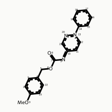 COc1ccc(COC(=O)N=c2ccn(-c3ccccc3)nc2)cc1